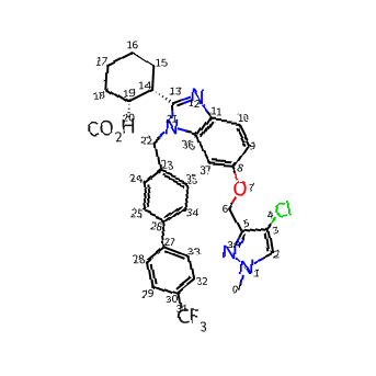 Cn1cc(Cl)c(COc2ccc3nc([C@H]4CCCC[C@H]4C(=O)O)n(Cc4ccc(-c5ccc(C(F)(F)F)cc5)cc4)c3c2)n1